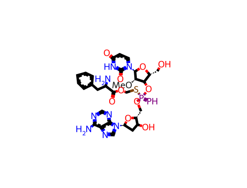 CO[C@H]1C(OP(=P)(OC[C@H]2O[C@@H](n3cnc4c(N)ncnc43)CC2O)SCOC(=O)C(N)Cc2ccccc2)[C@@H](CO)O[C@H]1n1ccc(=O)[nH]c1=O